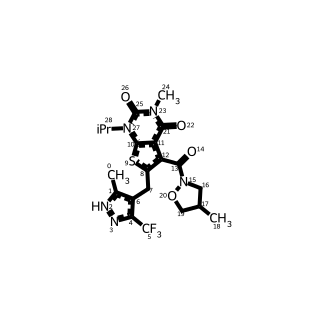 Cc1[nH]nc(C(F)(F)F)c1Cc1sc2c(c1C(=O)N1CC(C)CO1)c(=O)n(C)c(=O)n2C(C)C